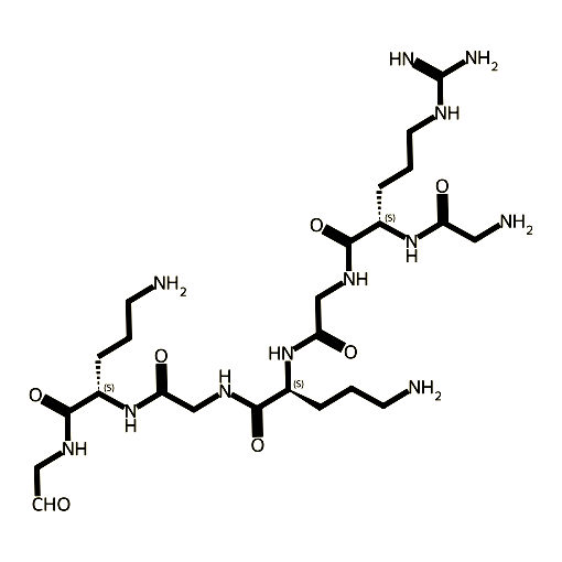 N=C(N)NCCC[C@H](NC(=O)CN)C(=O)NCC(=O)N[C@@H](CCCN)C(=O)NCC(=O)N[C@@H](CCCN)C(=O)NCC=O